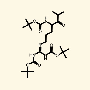 CC(C)C(=O)C(CCCN=C(NC(=O)OC(C)(C)C)NC(=O)OC(C)(C)C)NC(=O)OC(C)(C)C